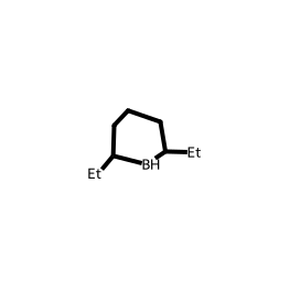 CCC1BC(CC)CCC1